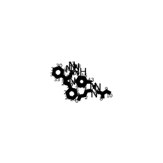 CCCCc1nc(C(C)CC)nn1Cc1ccc(-n2c(C3CCCCC3)cc(C3CCCCC3)c2-c2nnn[nH]2)cc1